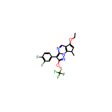 CCOC1=CC(C)c2c1cnc1c(-c3ccc(F)c(F)c3)c(OSC(F)(F)F)nn21